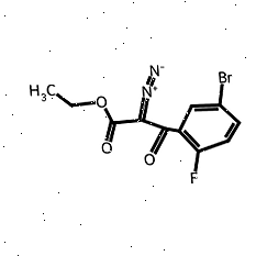 CCOC(=O)C(=[N+]=[N-])C(=O)c1cc(Br)ccc1F